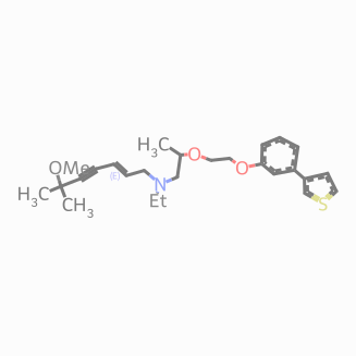 CCN(C/C=C/C#CC(C)(C)OC)CC(C)OCCOc1cccc(-c2ccsc2)c1